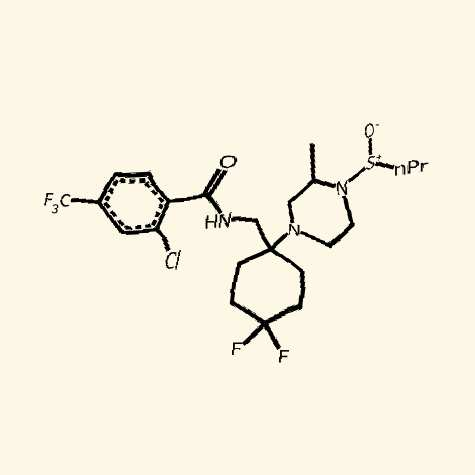 CCC[S+]([O-])N1CCN(C2(CNC(=O)c3ccc(C(F)(F)F)cc3Cl)CCC(F)(F)CC2)CC1C